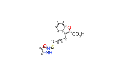 O=C(O)c1oc2ccccc2c1CC#CCSN1NC=CO1